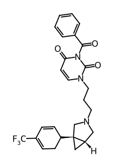 O=C(c1ccccc1)n1c(=O)ccn(CCCN2C[C@@H]3C[C@]3(C3C=CC(C(F)(F)F)=CC3)C2)c1=O